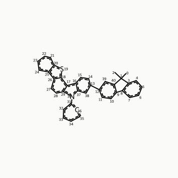 CC1(C)c2ccccc2-c2ccc(-c3ccc4c5c6sc7ccccc7c6ccc5n(-c5ccccc5)c4c3)cc21